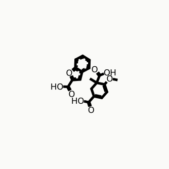 COC1=CC=C(C(=O)O)CC1(C)C(=O)O.O=C(O)c1cc2ccccc2o1